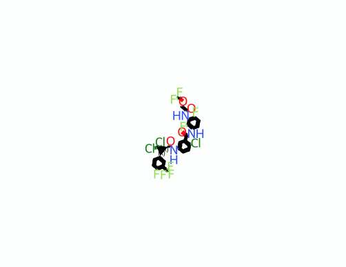 O=C(COC(F)F)Nc1c(F)ccc(NC(=O)c2cc(NC(=O)[C@H]3[C@H](c4ccc(F)c(C(F)(F)F)c4)C3(Cl)Cl)ccc2Cl)c1F